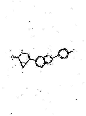 O=C1NN=C(c2ccc3nc(-c4ccc(F)cc4)oc3c2)C2CC12